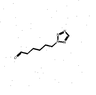 O=CCCCCCn1ncnn1